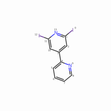 Ic1cc(-c2ccccn2)cc(I)n1